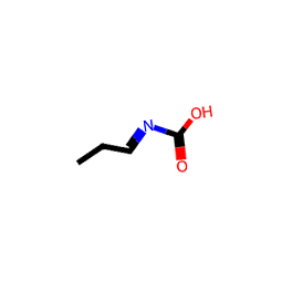 CCC=NC(=O)O